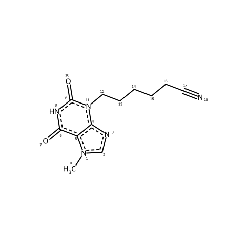 Cn1cnc2c1c(=O)[nH]c(=O)n2CCCCCC#N